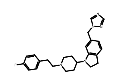 Fc1ccc(CCN2CCC(N3CCc4ccc(Cn5cncn5)cc43)CC2)cc1